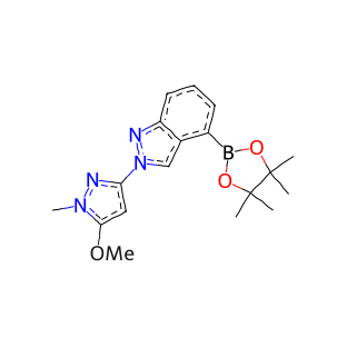 COc1cc(-n2cc3c(B4OC(C)(C)C(C)(C)O4)cccc3n2)nn1C